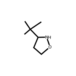 CC(C)(C)C1CCON1